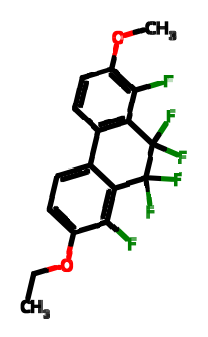 CCOc1ccc2c(c1F)C(F)(F)C(F)(F)c1c-2ccc(OC)c1F